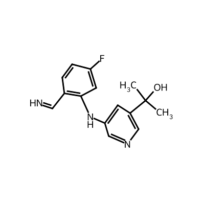 CC(C)(O)c1cncc(Nc2cc(F)ccc2C=N)c1